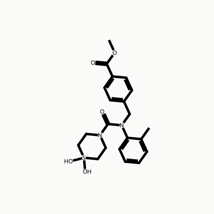 COC(=O)c1ccc(CN(C(=O)N2CCS(O)(O)CC2)c2ccccc2C)cc1